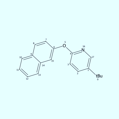 CC(C)(C)c1ccc(Oc2ccc3ccccc3c2)nc1